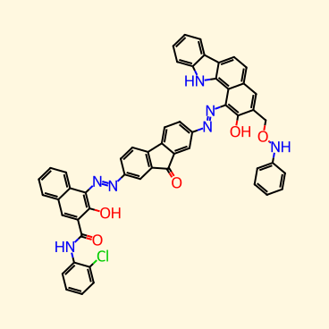 O=C1c2cc(N=Nc3c(O)c(C(=O)Nc4ccccc4Cl)cc4ccccc34)ccc2-c2ccc(N=Nc3c(O)c(CONc4ccccc4)cc4ccc5c6ccccc6[nH]c5c34)cc21